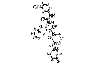 O=C(Nc1cccc(Cl)c1)N[C@@H](CC(=O)N1CCC[C@@H](Cc2ccc(F)cc2)C1)CN1CCOCC1